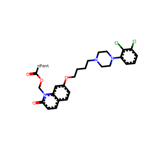 CCCCCC(=O)OCn1c(=O)ccc2ccc(OCCCCN3CCN(c4cccc(Cl)c4Cl)CC3)cc21